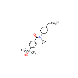 C[C@](O)(c1ccc(C(=O)N(C2CCC(CC(=O)O)CC2)C2CC2)cc1)C(F)(F)F